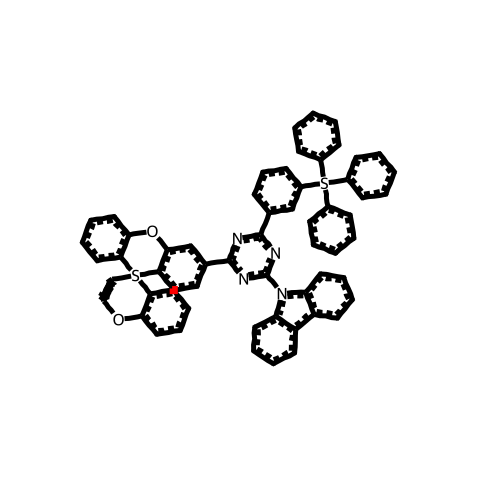 c1ccc(S(c2ccccc2)(c2ccccc2)c2cccc(-c3nc(-c4ccc5c(c4)Oc4ccccc4S54c5ccccc5Oc5ccccc54)nc(-n4c5ccccc5c5ccccc54)n3)c2)cc1